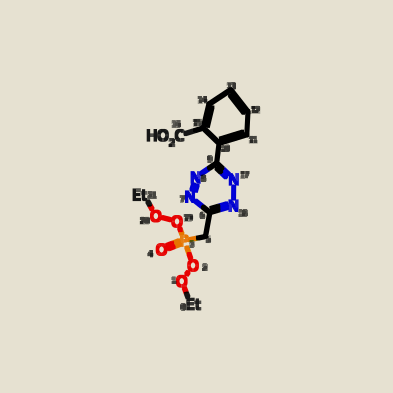 CCOOP(=O)(Cc1nnc(-c2ccccc2C(=O)O)nn1)OOCC